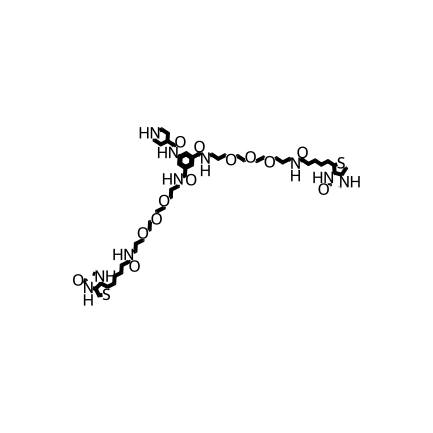 CNC1CSC(CCCCC(=O)NCCCOCCOCCOCCCNC(=O)c2cc(NC(=O)C3CCNCC3)cc(C(=O)NCCCOCCOCCOCCCNC(=O)CCCCC3SCC(NC=O)C3NC)c2)C1NC=O